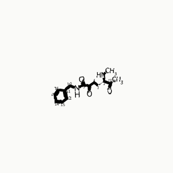 CN[C@@H](CCC(=O)C(=O)NCc1ccccc1)C(C)=O